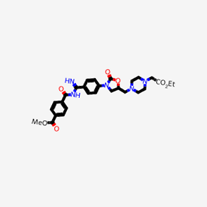 CCOC(=O)CN1CCN(CC2CN(c3ccc(C(=N)NC(=O)c4ccc(C(=O)OC)cc4)cc3)C(=O)O2)CC1